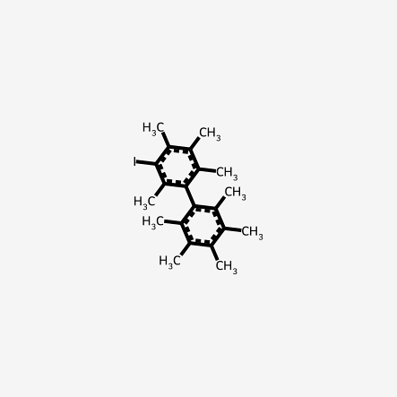 Cc1c(C)c(C)c(-c2c(C)c(C)c(C)c(I)c2C)c(C)c1C